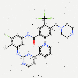 Cc1c(F)cc(NC(=O)c2ccc(CN3CCNCC3)c(C(F)(F)F)c2)cc1Nc1nccc(-c2cccnc2)n1